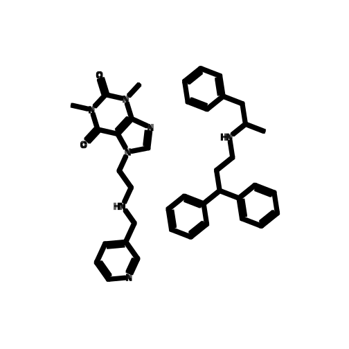 CC(Cc1ccccc1)NCCC(c1ccccc1)c1ccccc1.Cn1c(=O)c2c(ncn2CCNCc2cccnc2)n(C)c1=O